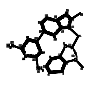 COc1ccccc1O[C@@H](C)Cn1c(C)nc2ccc(-c3cc(N)nc(N)c3)nc21